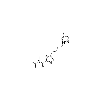 Cc1cn(CCCCc2nnc(C(=O)NC(C)C)s2)nn1